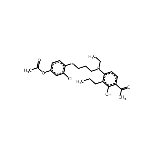 CCCc1c(N(CC)CCCSc2ccc(OC(C)=O)cc2Cl)ccc(C(C)=O)c1O